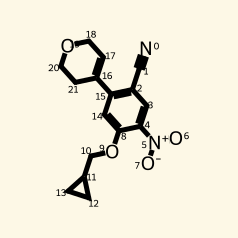 N#Cc1cc([N+](=O)[O-])c(OCC2CC2)cc1C1=CCOCC1